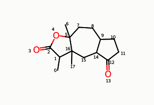 CC1C(=O)OC2(C)CCC3CCC(=O)C3CC12C